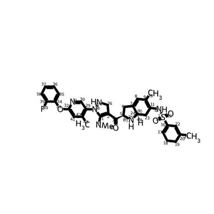 CNC1=C(C(=O)[C@H]2CC3=CC(C)=C(NS(=O)(=O)C4=CCCC(C)=C4)C[C@H]3N2)CNN1c1cnc(Oc2ccccc2F)cc1C